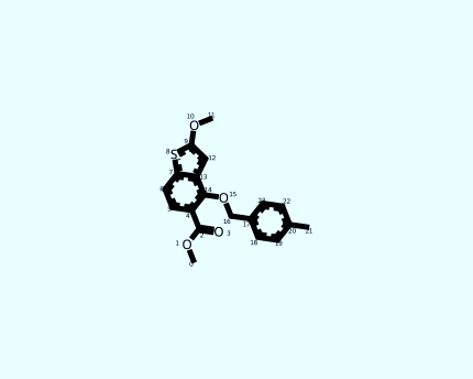 COC(=O)c1ccc2sc(OC)cc2c1OCc1ccc(C)cc1